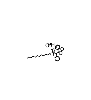 CCCCCCCCCCCCOC(=O)C(C(=O)c1c(OC)cccc1OC)c1ccccc1.O=[PH3]